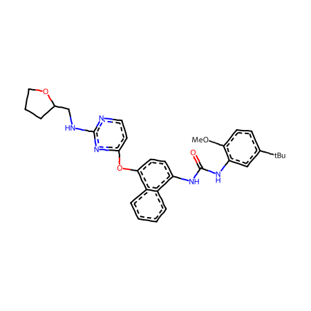 COc1ccc(C(C)(C)C)cc1NC(=O)Nc1ccc(Oc2ccnc(NCC3CCCO3)n2)c2ccccc12